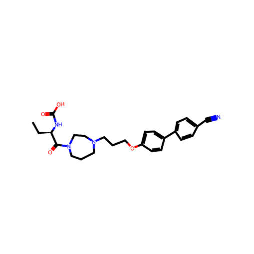 CC[C@@H](NC(=O)O)C(=O)N1CCCN(CCCOc2ccc(-c3ccc(C#N)cc3)cc2)CC1